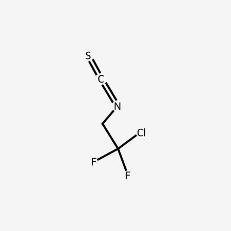 FC(F)(Cl)CN=C=S